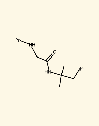 CC(C)CC(C)(C)NC(=O)CNC(C)C